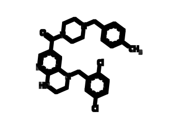 Cc1ccc(CN2CCN(C(=O)c3cnc4c(c3)N(Cc3cc(Cl)ccc3Cl)CCN4)CC2)cc1